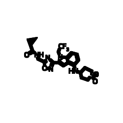 O=C(NCc1nc(-c2cc3c(NC4CCS(=O)(=O)CC4)cccc3n2CC(F)(F)F)no1)C1CC1